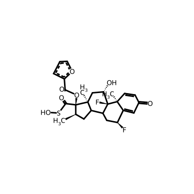 C[C@@H]1CC2C3C[C@H](F)C4=CC(=O)C=C[C@]4(C)[C@@]3(F)[C@@H](O)C[C@]2(C)[C@@]1(OC(=O)c1ccco1)C(=O)SO